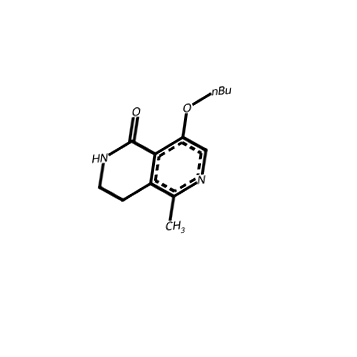 CCCCOc1cnc(C)c2c1C(=O)NCC2